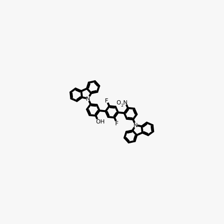 O=[N+]([O-])c1ccc(-n2c3ccccc3c3ccccc32)cc1-c1cc(F)c(-c2cc(-n3c4ccccc4c4ccccc43)ccc2O)cc1F